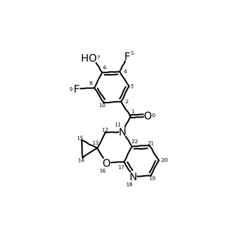 O=C(c1cc(F)c(O)c(F)c1)N1CC2(CC2)Oc2ncccc21